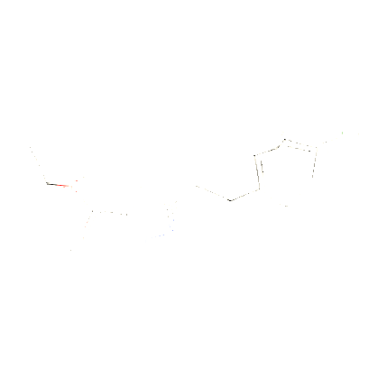 CCOC(=O)c1nnc(CCc2ccc(Cl)cc2)s1